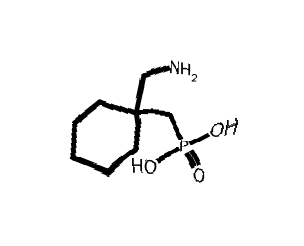 NCC1(CP(=O)(O)O)CCCCC1